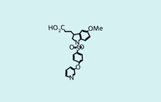 COc1ccc2c(c1)C(CCC(=O)O)CN2S(=O)(=O)c1ccc(Oc2cccnc2)cc1